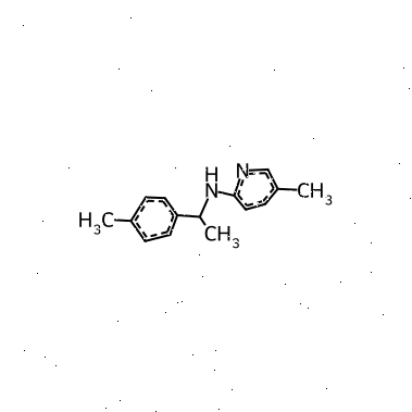 Cc1ccc(C(C)Nc2ccc(C)cn2)cc1